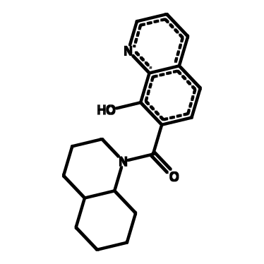 O=C(c1ccc2cccnc2c1O)N1CCCC2CCCCC21